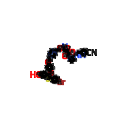 N#Cc1ccc(CNC(=O)[C@@H]2CCCN2C(=O)Cc2cc(OCCN3CCN(CCOc4ccc(Oc5c(-c6ccc(Br)cc6)sc6cc(O)ccc56)cc4)CC3)no2)cc1